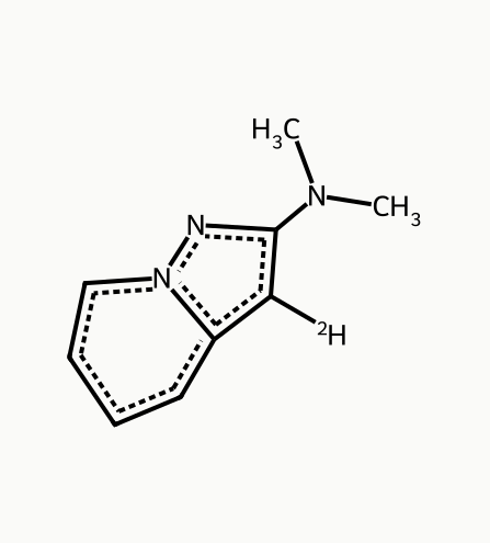 [2H]c1c(N(C)C)nn2ccccc12